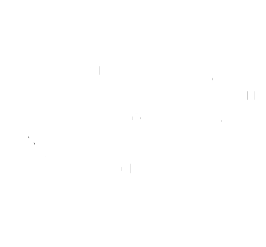 CC(CCCN1CCCCC1)CCOc1ccc(C(C)(C)C)cc1.Cl